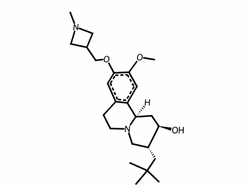 COc1cc2c(cc1OCC1CN(C)C1)CCN1C[C@@H](CC(C)(C)C)[C@H](O)C[C@H]21